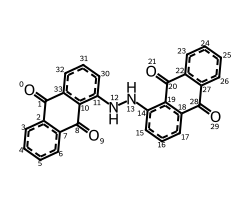 O=C1c2ccccc2C(=O)c2c(NNc3cccc4c3C(=O)c3ccccc3C4=O)cccc21